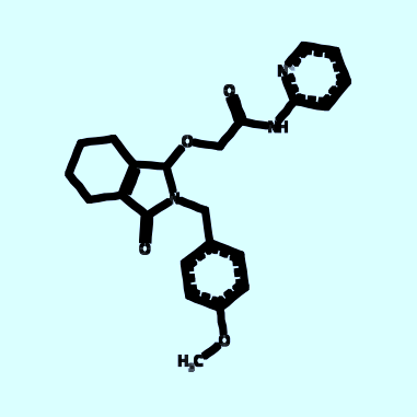 COc1ccc(CN2C(=O)C3=C(CCCC3)C2OCC(=O)Nc2ccccn2)cc1